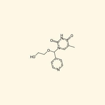 Cc1cn(C(OCCO)c2ccncc2)c(=O)[nH]c1=O